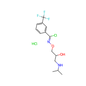 CC(C)NCC(O)CO/N=C(\Cl)c1cccc(C(F)(F)F)c1.Cl